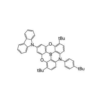 CC(C)(C)c1ccc(N2c3ccc(C(C)(C)C)c4c3B3c5c(cc(-n6c7ccccc7c7ccccc76)cc5Oc5c(C(C)(C)C)ccc2c53)O4)cc1